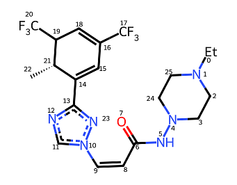 CCN1CCN(NC(=O)/C=C\n2cnc(C3=CC(C(F)(F)F)=CC(C(F)(F)F)[C@H]3C)n2)CC1